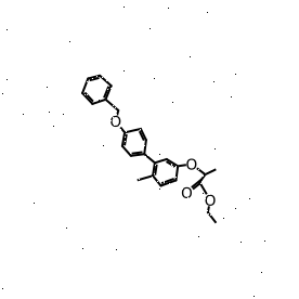 CCOC(=O)C(C)Oc1ccc(C)c(-c2ccc(OCc3ccccc3)cc2)c1